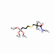 CNC(=O)C(C)(C)CSCCC[Si](OC)(OC)OC